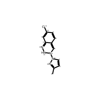 Cc1ccn(N2C=c3ccc(Cl)cc3=NN2)n1